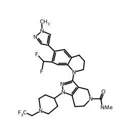 CNC(=O)N1CCc2c(c(N3CCCc4cc(-c5cnn(C)c5)c(C(F)F)cc43)nn2C2CCN(CC(F)(F)F)CC2)C1